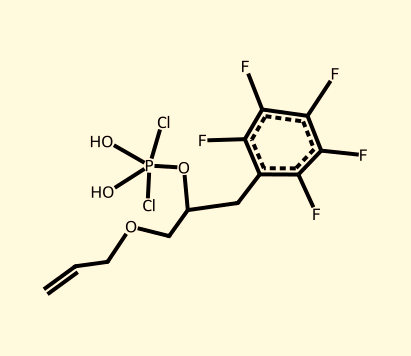 C=CCOCC(Cc1c(F)c(F)c(F)c(F)c1F)OP(O)(O)(Cl)Cl